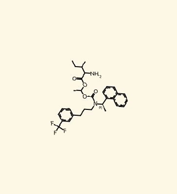 CCC(C)C(N)C(=O)OC(C)OC(=O)N(CCCc1cccc(C(F)(F)F)c1)[C@H](C)c1cccc2ccccc12